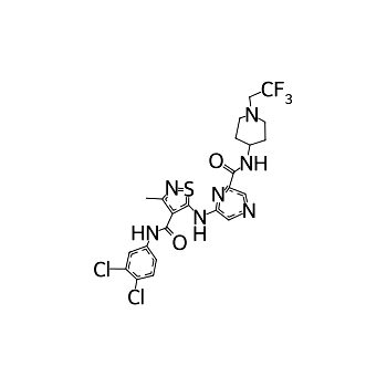 Cc1nsc(Nc2cncc(C(=O)NC3CCN(CC(F)(F)F)CC3)n2)c1C(=O)Nc1ccc(Cl)c(Cl)c1